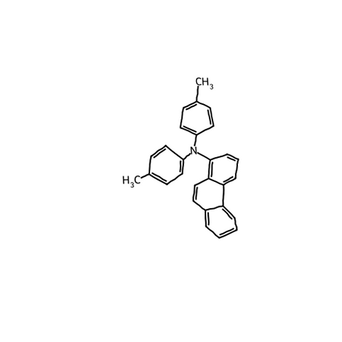 Cc1ccc(N(c2ccc(C)cc2)c2cccc3c2ccc2ccccc23)cc1